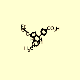 CCOCOc1ccc2c(c1)[C@H]1CN(C)CC[C@H]1N=C2c1ccc(C(=O)O)cc1